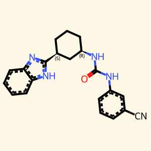 N#Cc1cccc(NC(=O)N[C@@H]2CCC[C@H](c3nc4ccccc4[nH]3)C2)c1